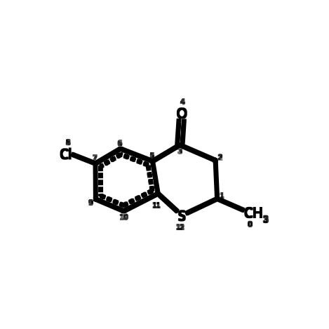 CC1CC(=O)c2cc(Cl)ccc2S1